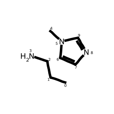 CCCN.Cn1ccnc1